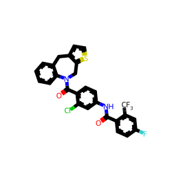 O=C(Nc1ccc(C(=O)N2Cc3sccc3Cc3ccccc32)c(Cl)c1)c1ccc(F)cc1C(F)(F)F